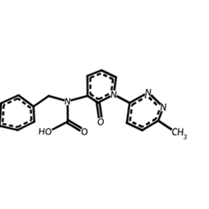 Cc1ccc(-n2cccc(N(Cc3ccccc3)C(=O)O)c2=O)nn1